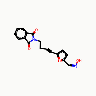 O=C1c2ccccc2C(=O)N1CCC#Cc1ccc(/C=N\O)o1